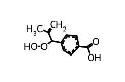 C=C(C)C(OO)c1ccc(C(=O)O)cc1